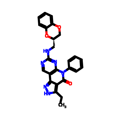 CCc1[nH]nc2c1c(=O)n(-c1ccccc1)c1nc(NC[C@H]3COc4ccccc4O3)ncc21